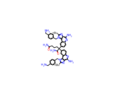 CCCCc1nc2c(N)nc3ccc(C(CCCC(N)=O)(C(N)=O)c4ccc5nc(N)c6nc(CCCC)n(Cc7ccc(CN)cc7)c6c5c4)cc3c2n1Cc1ccc(CN)cc1